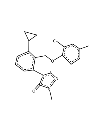 Cc1ccc(OCc2c(C3CC3)cccc2-n2nnn(C)c2=O)c(Cl)c1